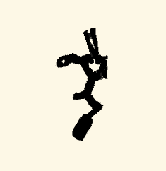 C#CCC(C)c1ns[nH]c1=O